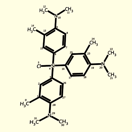 Cc1cc([Si](Cl)(c2ccc(N(C)C)c(C)c2)c2ccc(N(C)C)c(C)c2)ccc1N(C)C